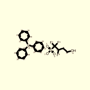 O=S(=O)([O-])C(F)(F)C(F)CCO.c1ccc([S+](c2ccccc2)c2ccccc2)cc1